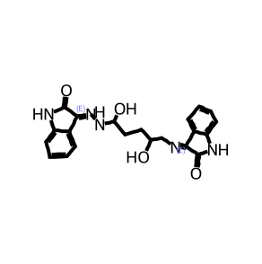 O=C1Nc2ccccc2/C1=N\CC(O)CCC(O)N/N=C1/C(=O)Nc2ccccc21